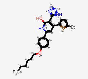 CCc1ccc(C2=C(c3nnn[nH]3)C(O)NC(c3ccc(OCCCCCC(F)(F)F)cc3)=C2)s1